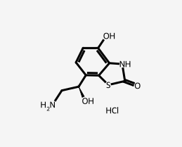 Cl.NC[C@H](O)c1ccc(O)c2[nH]c(=O)sc12